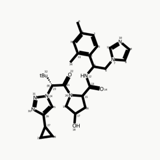 Cc1ccc(C(Cn2ccnc2)NC(=O)C2CC(O)CN2C(=O)[C@H](n2cc(C3CC3)nn2)C(C)(C)C)c(C)c1